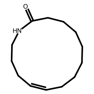 O=C1CCCCCCC/C=C\CCCN1